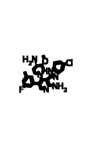 CO[C@H]1CN(c2c(-c3cc(C)cc(F)c3)cnc(N)c2-c2nc3cc(Cl)ccc3[nH]2)CC[C@@H]1N